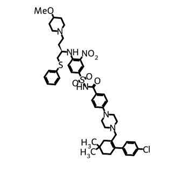 COC1CCN(CC[C@H](CSc2ccccc2)Nc2ccc(S(=O)(=O)NC(=O)c3ccc(N4CCN(CC5=C(c6ccc(Cl)cc6)CCC(C)(C)C5)CC4)cc3)cc2[N+](=O)[O-])CC1